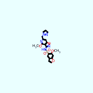 COc1cc2occc2cc1S(=O)(=O)Nc1noc2cc(Cn3cccn3)nc(OC)c12